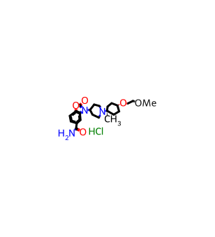 COCCO[C@H]1CC[C@](C)(N2CCC(n3c(=O)oc4ccc(C(N)=O)cc43)CC2)CC1.Cl